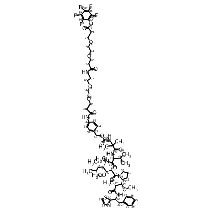 CC[C@H](C)[C@@H]([C@@H](CC(=O)N1CCC[C@H]1C(OC)[C@@H](C)C(=O)N[C@@H](Cc1ccccc1)c1nccs1)OC)N(C)C(=O)[C@@H](NC(=O)C(C)(C)NC(=O)OCc1ccc(NC(=O)CCOCCOCCNC(=O)CCOCCOCCC(=O)Oc2c(F)c(F)c(F)c(F)c2F)cc1)C(C)C